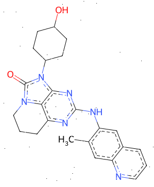 Cc1cc2ncccc2cc1Nc1nc2c3c(n1)n(C1CCC(O)CC1)c(=O)n3CCC2